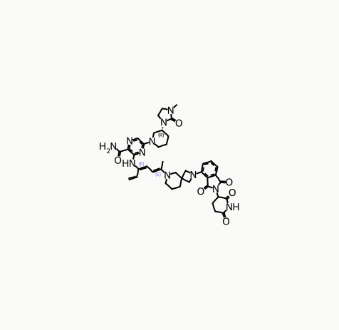 C=C/C(=C\C=C(/C)N1CCCC2(C1)CN(c1cccc3c1C(=O)N(C1CCC(=O)NC1=O)C3=O)C2)Nc1nc(N2CCC[C@@H](N3CCN(C)C3=O)C2)cnc1C(N)=O